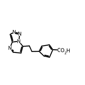 O=C(O)c1ccc(CCc2ccnc3cnnn23)cc1